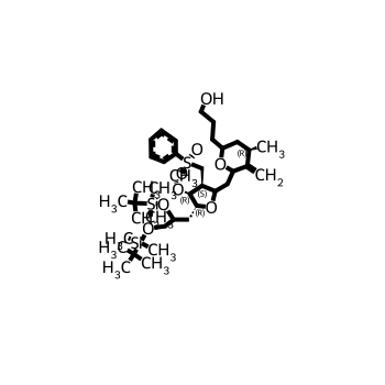 C=C1C(CC2O[C@H](CC(CO[Si](C)(C)C(C)(C)C)O[Si](C)(C)C(C)(C)C)[C@H](OC)[C@H]2CS(=O)(=O)c2ccccc2)OC(CCCO)C[C@H]1C